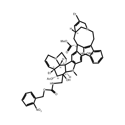 CCC1=C[C@@H]2CN(CCc3c([nH]c4ccccc34)[C@@](C(=O)OC)(c3cc4c(cc3OC)N(C)[C@H]3C(O)(CNC(=O)OCc5ccccc5[N+](=O)[O-])[C@H](OC(C)=O)[C@]5(CC)C=CCN6CC[C@]43[C@@H]65)C2)C1